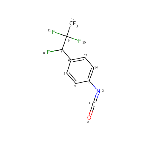 O=C=Nc1ccc(C(F)C(F)(F)C(F)(F)F)cc1